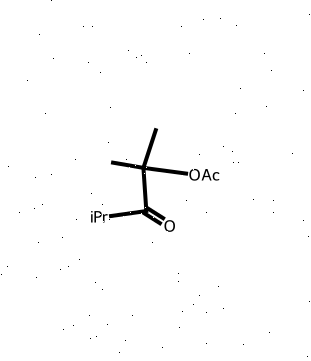 CC(=O)OC(C)(C)C(=O)C(C)C